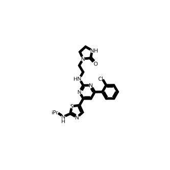 CC(C)Nc1ncc(-c2cc(-c3ccccc3Cl)nc(NCCN3CCNC3=O)n2)s1